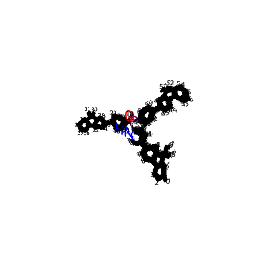 Cc1ccc2c(c1)C(C)(C)c1cc(C3=CC=C(P(=O)(c4ccc(-c5ccc6c(c5)C(C)(C)c5ccccc5-6)cc4)c4ccc(-c5ccc6c(c5)C(C)(C)c5ccccc5-6)cc4)NC3)ccc1-2